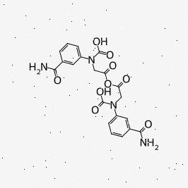 NC(=O)c1cccc(N(CC(=O)OC(=O)CN(C(=O)O)c2cccc(C(N)=O)c2)C(=O)O)c1